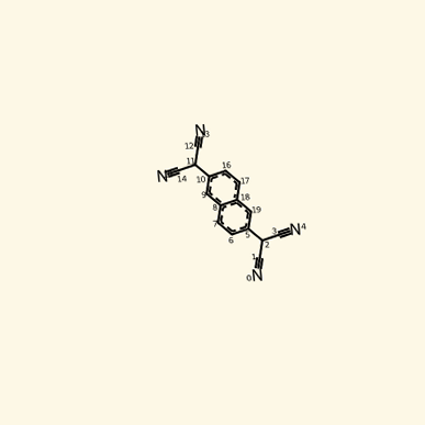 N#CC(C#N)c1ccc2cc(C(C#N)C#N)ccc2c1